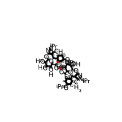 CCC(OC(=O)OC(CC)[C@@H]1O[C@@H](Oc2nn(C(C)C)c(C)c2Cc2ccc(OC(C)C)cc2)[C@H](O)[C@@H](O)[C@@H]1O)[C@@H]1O[C@@H](Oc2nn(C(C)C)c(C)c2Cc2ccc(OC(C)C)cc2)[C@H](O)[C@@H](O)[C@@H]1O